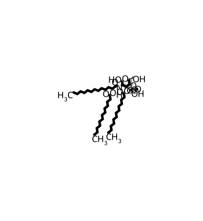 CCCCCCCCCCCCCC(=O)OC(CCCCCCCCCCCC)C(=O)N[C@H]1C(O)O[C@H](CO)[C@@H](OS(=O)(=O)O)[C@@H]1OC(=O)CCCCCCCCCCCCC